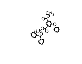 COC(=O)c1cc(Oc2ccccc2)cc(C(=O)OC)c1.O=C(c1ccccc1)c1ccccc1